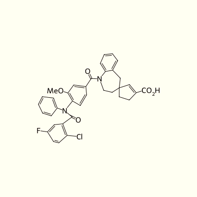 COc1cc(C(=O)N2CCC3(C=C(C(=O)O)CC3)Cc3ccccc32)ccc1N(C(=O)c1cc(F)ccc1Cl)c1ccccc1